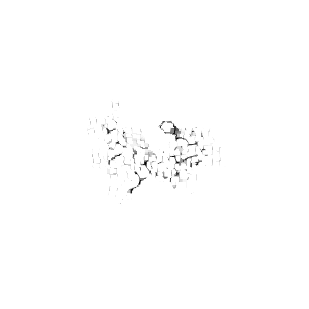 C=C/C=C(\C=C)C[C@@H](C(=O)N[C@@H](C)C(=O)N(C)[C@@H](CC(C)C)C(=O)N(C)[C@@H](CC(C)C)C(N)=O)N(C)C(=O)[C@H](CC)N(C)C(=O)[C@H](CC(C)C)NC(=O)[C@H](C(C)C)N(C)C(=O)CC(NC)C(=O)N1CCCCC1